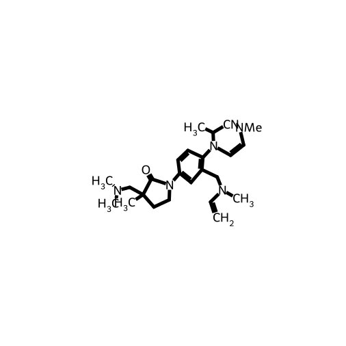 C=CN(C)Cc1cc(N2CCC(C)(CN(C)C)C2=O)ccc1N(/C=C\NC)C(C)C#N